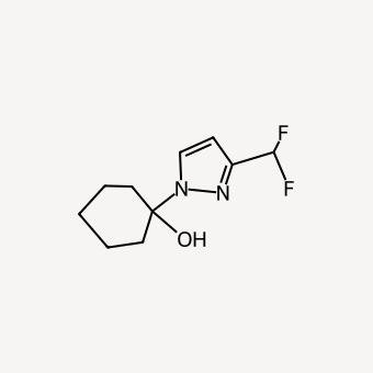 OC1(n2ccc(C(F)F)n2)CCCCC1